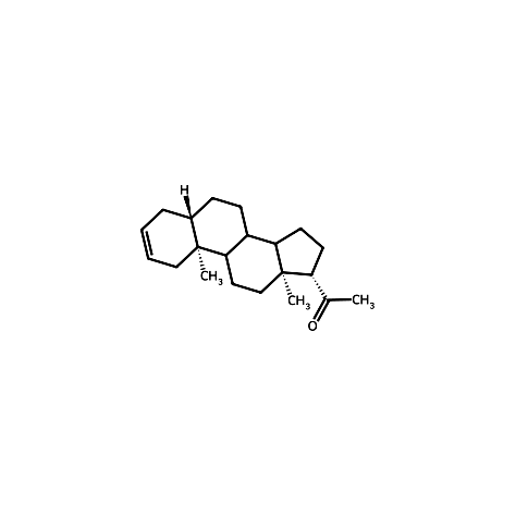 CC(=O)[C@H]1CCC2C3CC[C@H]4CC=CC[C@]4(C)C3CC[C@@]21C